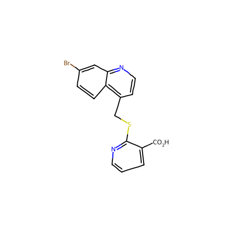 O=C(O)c1cccnc1SCc1ccnc2cc(Br)ccc12